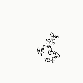 NCCCC[C@H](NC(=O)[C@@H]1CCCN1)C(=O)NCC(=O)N1CCC[C@H]1C(=O)O